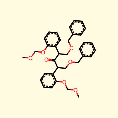 COCOc1ccccc1C(COCc1ccccc1)C(=O)C(COCc1ccccc1)c1ccccc1OCOC